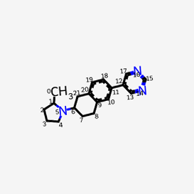 CC1CCCN1C1CCc2cc(-c3cncnc3)ccc2C1